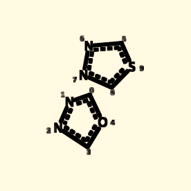 c1nnco1.c1nncs1